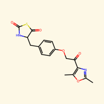 Cc1nc(C(=O)COc2ccc(CC3NC(=O)SC3=O)cc2)c(C)o1